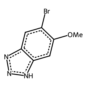 COc1cc2[nH]nnc2cc1Br